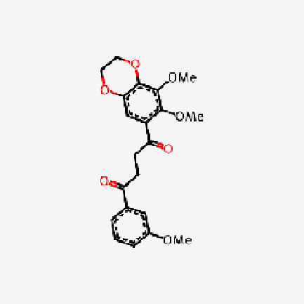 COc1cccc(C(=O)CCC(=O)c2cc3c(c(OC)c2OC)OCCO3)c1